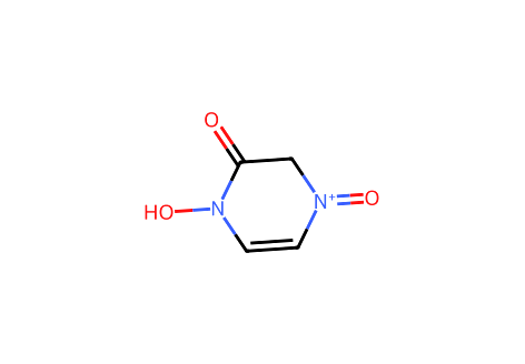 O=C1C[N+](=O)C=CN1O